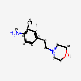 Cc1cc(CCN2CCOCC2)ccc1N